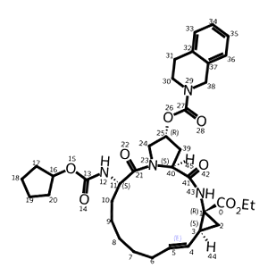 CCOC(=O)[C@@]12C[C@H]1/C=C/CCCCC[C@H](NC(=O)OC1CCCC1)C(=O)N1C[C@H](OC(=O)N3CCc4ccccc4C3)C[C@H]1C(=O)N2